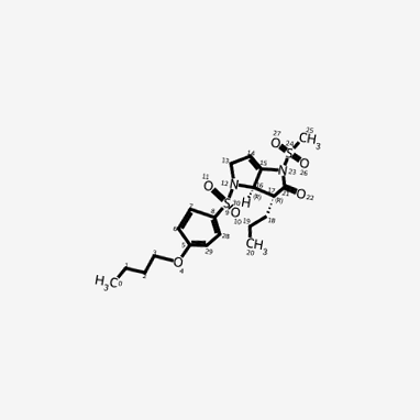 CCCCOc1ccc(S(=O)(=O)N2CC=C3[C@H]2[C@@H](CCC)C(=O)N3S(C)(=O)=O)cc1